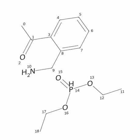 CC(=O)c1ccccc1CN.CCO[PH](=O)OCC